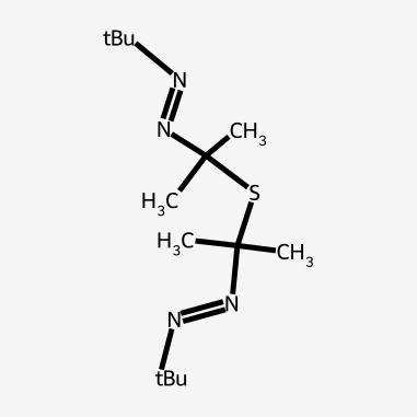 CC(C)(C)/N=N/C(C)(C)SC(C)(C)/N=N/C(C)(C)C